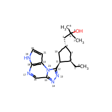 CC[C@@H]1C[C@@H](CC(C)(C)O)C[C@@H]1c1nnc2cnc3[nH]ccc3n12